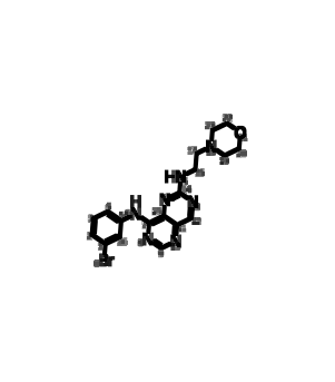 Brc1cccc(Nc2ncnc3cnc(NCCN4CCOCC4)nc23)c1